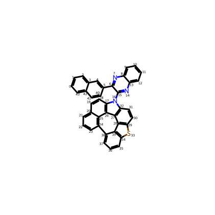 c1ccc2cc(-c3nc4ccccc4nc3-n3c4ccc5cccc6c5c4c4c5c(ccc43)sc3cccc-6c35)ccc2c1